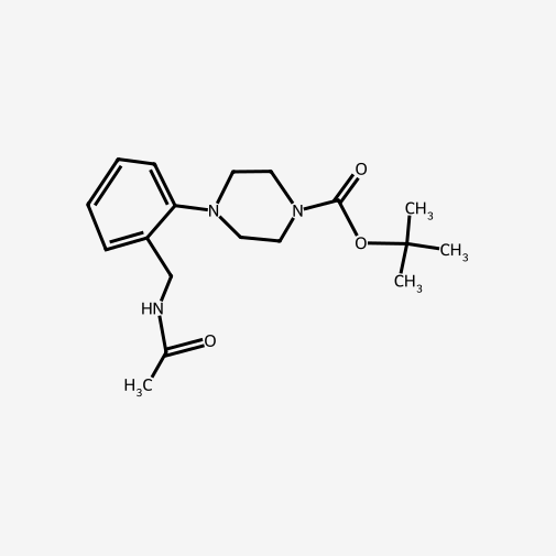 CC(=O)NCc1ccccc1N1CCN(C(=O)OC(C)(C)C)CC1